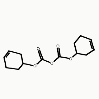 O=C(OC(=O)OC1CC=CCC1)OC1CC=CCC1